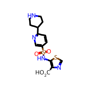 O=C(O)c1ncsc1NS(=O)(=O)c1ccc(C2CCNCC2)nc1